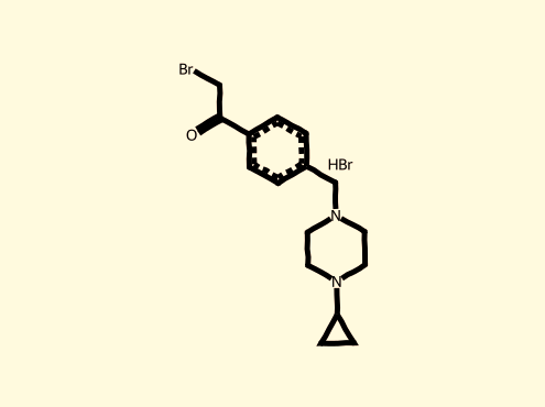 Br.O=C(CBr)c1ccc(CN2CCN(C3CC3)CC2)cc1